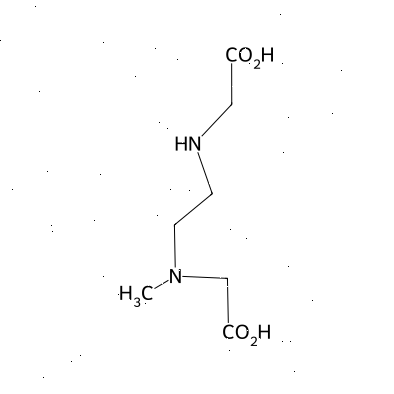 CN(CCNCC(=O)O)CC(=O)O